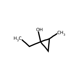 CCC1(O)CC1C